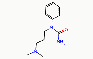 CN(C)CCCN(C(N)=O)c1ccccc1